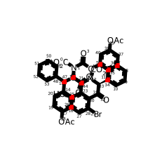 CCOC(=O)N(C(=O)OCc1ccccc1)[C@@H](Cc1ccc(OC(C)=O)cc1)C(=O)c1c(O)ccc(Br)c1C(=O)[C@H](Cc1ccc(OC(C)=O)cc1)N(C(=O)OCC)C(=O)OCc1ccccc1